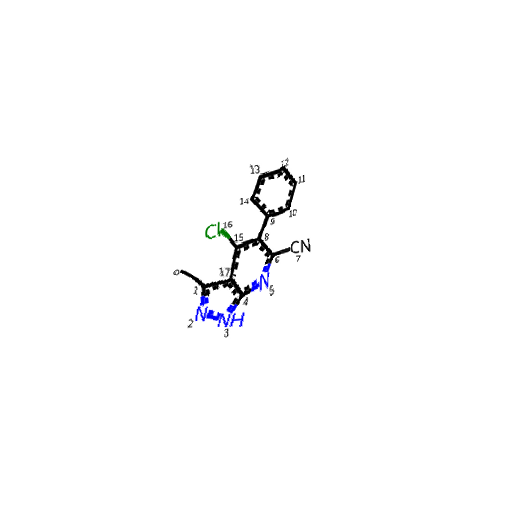 Cc1n[nH]c2nc(C#N)c(-c3ccccc3)c(Cl)c12